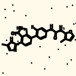 Cc1cnc(-c2ccc(-c3ccc(NC(=O)Nc4occc4C)cc3F)c3c2C(=O)NC3)[nH]1